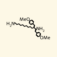 COc1ccc(C=C(N)C(=Cc2ccc(OC)cc2)CCCCCCCCCCN)cc1